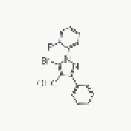 O=Cc1c(-c2ccccc2)nn(-c2ccccc2F)c1Br